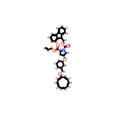 C=CCOC(=O)[C@@H]1C[C@@H](OC2CCCC(COc3ccccccccc3)C2)CN1C(=O)OCC1c2ccccc2-c2ccccc21